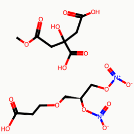 COC(=O)CC(O)(CC(=O)O)C(=O)O.O=C(O)CCOC[C@@H](CO[N+](=O)[O-])O[N+](=O)[O-]